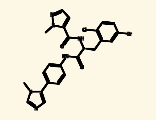 Cn1cncc1-c1ccc(NC(=O)[C@H](Cc2cc(Br)ccc2Cl)NC(=O)c2ccnn2C)cc1